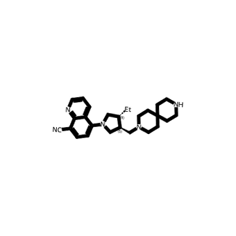 CC[C@H]1CN(c2ccc(C#N)c3ncccc23)C[C@@H]1CN1CCC2(CCNCC2)CC1